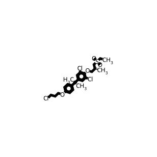 CCS(=O)(=O)C[C@H](C)COc1c(Cl)cc(C(C)(C)c2ccc(OCCCCl)cc2)cc1Cl